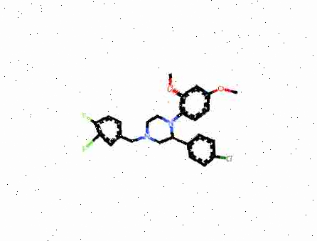 COc1ccc(N2CCN(Cc3ccc(F)c(F)c3)CC2c2ccc(Cl)cc2)c(OC)c1